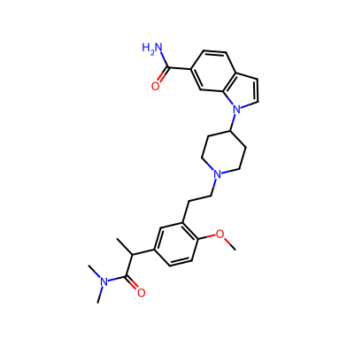 COc1ccc(C(C)C(=O)N(C)C)cc1CCN1CCC(n2ccc3ccc(C(N)=O)cc32)CC1